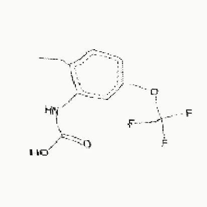 Cc1ccc(OC(F)(F)F)cc1NC(=O)O